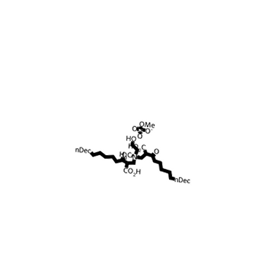 CCCCCCCCCCCCCCCC(=O)C(C[N+](C)(CCO)CC(C(=O)O)C(=O)CCCCCCCCCCCCCCC)C(=O)O.COS(=O)(=O)[O-]